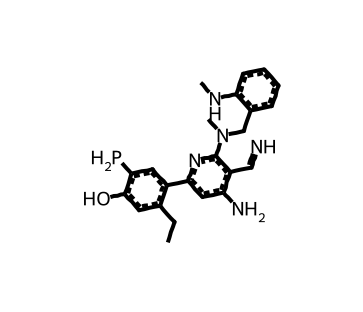 CCc1cc(O)c(P)cc1-c1cc(N)c(C=N)c(N(C)Cc2ccccc2NC)n1